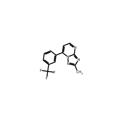 Cc1nc2nccc(-c3cccc(C(F)(F)F)c3)n2n1